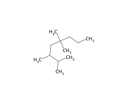 CCCC(C)(C)CC(C)C(C)C